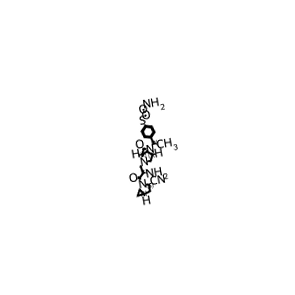 C[C@H](c1ccc(SOON)cc1)N1C(=O)[C@@H]2C[C@H]1CN2C[C@H](N)C(=O)N1C2C[C@H]2C[C@H]1C#N